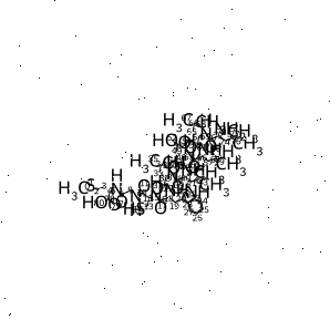 CSCC[C@H](NC(=O)CNC(=O)[C@H](CS)NC(=O)[C@H](Cc1c[nH]c2ccccc12)NC(=O)[C@H](CC(C)C)NC(=O)[C@H](CC(C)C)NC(=O)[C@H](CC(=O)O)NC(=O)[C@H](CC(C)C)NC(=O)[C@H](CC(C)C)NC(=O)[C@@H](N)CC(C)C)C(=O)O